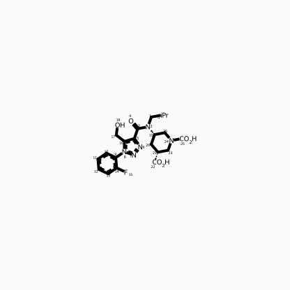 CC(C)CN(C(=O)c1nnn(-c2ccccc2F)c1CO)[C@H]1C[C@@H](C(=O)O)CN(C(=O)O)C1